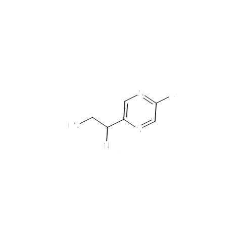 NCC(N)c1cnc(Br)cn1